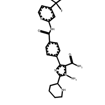 NC(=O)c1c(-c2ccc(C(=O)Nc3cc(C(F)(F)F)ccn3)cc2)nc(C2CCCCN2)n1N